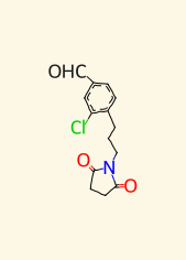 O=Cc1ccc(CCCN2C(=O)CCC2=O)c(Cl)c1